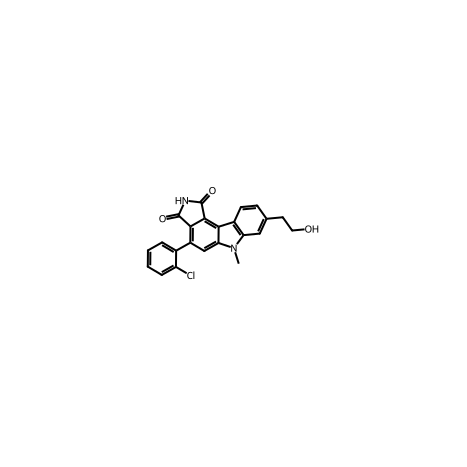 Cn1c2cc(CCO)ccc2c2c3c(c(-c4ccccc4Cl)cc21)C(=O)NC3=O